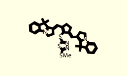 CSc1nnc(SC2=C(C=C3CC[N+]4=C3C(C)(C)c3ccccc34)CCC2=CC2=C3N(CC2)c2ccccc2C3(C)C)s1